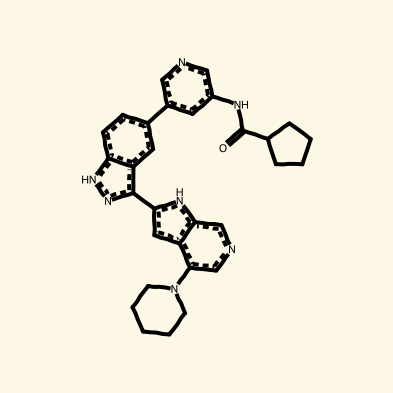 O=C(Nc1cncc(-c2ccc3[nH]nc(-c4cc5c(N6CCCCC6)cncc5[nH]4)c3c2)c1)C1CCCC1